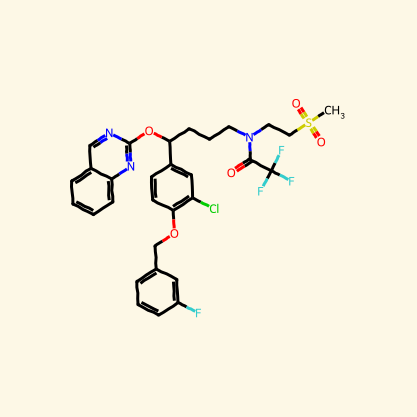 CS(=O)(=O)CCN(CCCC(Oc1ncc2ccccc2n1)c1ccc(OCc2cccc(F)c2)c(Cl)c1)C(=O)C(F)(F)F